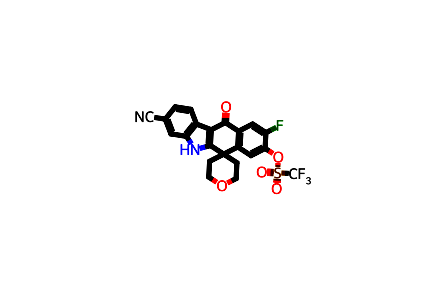 N#Cc1ccc2c3c([nH]c2c1)C1(CCOCC1)c1cc(OS(=O)(=O)C(F)(F)F)c(F)cc1C3=O